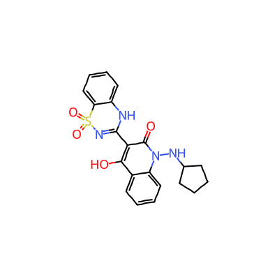 O=c1c(C2=NS(=O)(=O)c3ccccc3N2)c(O)c2ccccc2n1NC1CCCC1